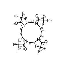 O=C(N1CCCN(C(=O)C(F)(F)F)CCN(C(=O)C(F)(F)F)CCCN(C(=O)C(F)(F)F)CC1)C(F)(F)F